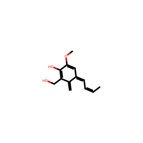 C=c1c(CO)c(O)c(OC)c/c1=C/C=C\C